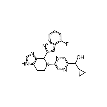 OC(c1cnc(N2CCc3[nH]cnc3C2c2cc3c(F)cccn3n2)cn1)C1CC1